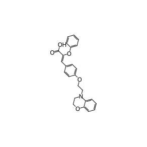 O=C(O)/C(=C/c1ccc(OCCN2CCOc3ccccc32)cc1)Oc1ccccc1